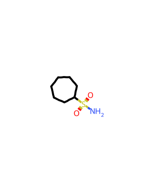 NS(=O)(=O)C1CCCCCC1